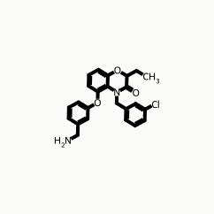 CCC1Oc2cccc(Oc3cccc(CN)c3)c2N(Cc2cccc(Cl)c2)C1=O